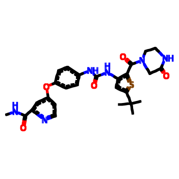 CNC(=O)c1cc(Oc2ccc(NC(=O)Nc3cc(C(C)(C)C)sc3C(=O)N3CCNC(=O)C3)cc2)ccn1